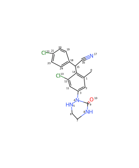 Cc1cc(N2NCCNC2=O)cc(Cl)c1C(C#N)c1ccc(Cl)cc1